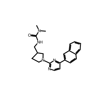 CN(C)C(=O)NCC1CCN(c2nccc(-c3ccc4ccccc4c3)n2)C1